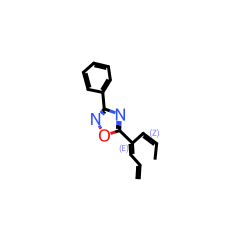 C=C/C=C(\C=C/C)c1nc(-c2ccccc2)no1